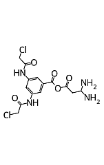 NC(N)CC(=O)OC(=O)c1cc(NC(=O)CCl)cc(NC(=O)CCl)c1